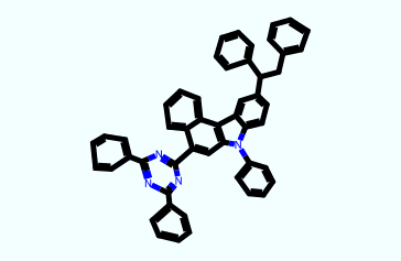 c1ccc(CC(c2ccccc2)c2ccc3c(c2)c2c4ccccc4c(-c4nc(-c5ccccc5)nc(-c5ccccc5)n4)cc2n3-c2ccccc2)cc1